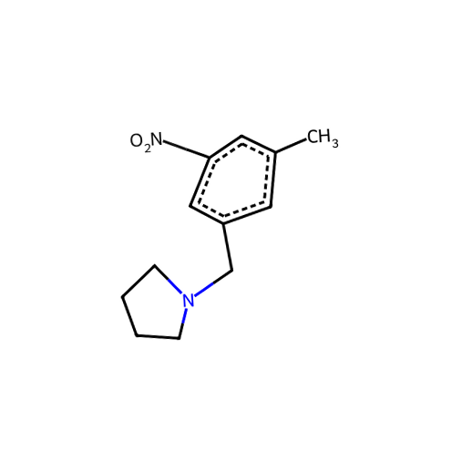 Cc1cc(CN2CCCC2)cc([N+](=O)[O-])c1